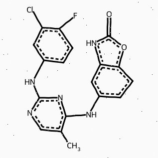 Cc1cnc(Nc2ccc(F)c(Cl)c2)nc1Nc1ccc2oc(=O)[nH]c2c1